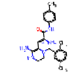 Cc1ccc(NC(=O)/C(N)=C/C2=C(N)NCCN2Cc2cc(C)ccc2C)cc1